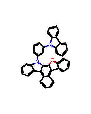 c1cc(-n2c3ccccc3c3ccccc32)cc(-n2c3ccccc3c3c4ccccc4c4c5ccccc5oc4c32)c1